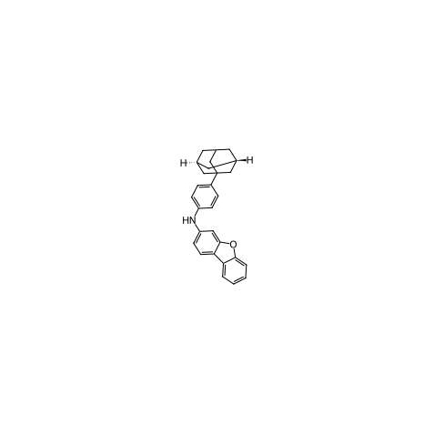 c1ccc2c(c1)oc1cc(Nc3ccc(C45CC6C[C@H](C4)C[C@H](C6)C5)cc3)ccc12